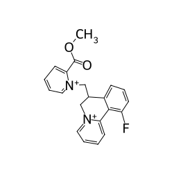 COC(=O)c1cccc[n+]1CC1C[n+]2ccccc2-c2c(F)cccc21